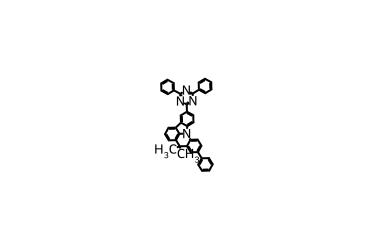 CC1(C)c2cc(-c3ccccc3)ccc2-n2c3ccc(-c4nc(-c5ccccc5)nc(-c5ccccc5)n4)cc3c3cccc1c32